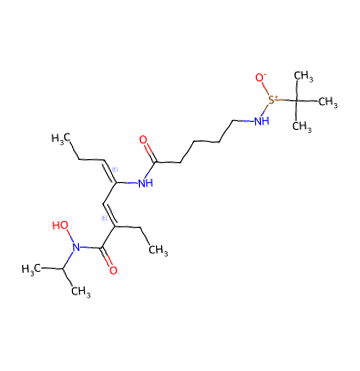 CC/C=C(\C=C(/CC)C(=O)N(O)C(C)C)NC(=O)CCCCN[S+]([O-])C(C)(C)C